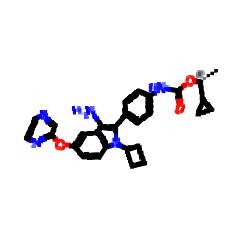 C[C@@H](OC(=O)Nc1ccc(-c2c(N)c3cc(Oc4cnccn4)ccc3n2C2CCC2)cc1)C1CC1